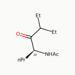 CCC[C@H](NC(C)=O)C(=O)C(CC)CC